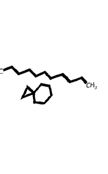 C1CCC2(CC1)CC2.CCCCCCCCCCC